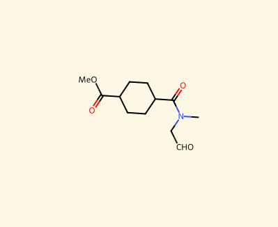 COC(=O)C1CCC(C(=O)N(C)CC=O)CC1